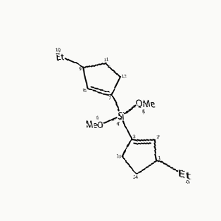 CCC1C=C([Si](OC)(OC)C2=CC(CC)CC2)CC1